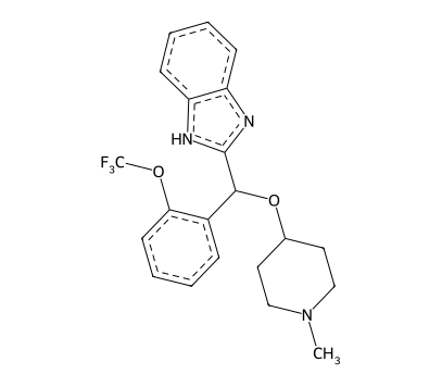 CN1CCC(OC(c2nc3ccccc3[nH]2)c2ccccc2OC(F)(F)F)CC1